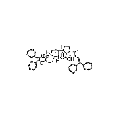 CC(CC=C(c1ccccc1)c1ccccc1)[C@H]1CC[C@H]2[C@@H]3CC[C@@H]4C[C@H](O[Si](c5ccccc5)(c5ccccc5)C(C)(C)C)CC[C@]4(C)[C@H]3C[C@H](O)[C@]12C